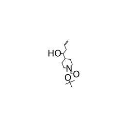 C=CCC(O)C1CCN(C(=O)OC(C)(C)C)CC1